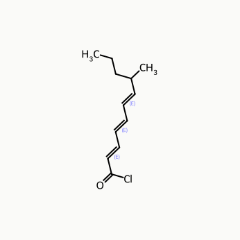 CCCC(C)/C=C/C=C/C=C/C(=O)Cl